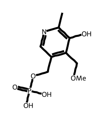 COCc1c(COP(=O)(O)O)cnc(C)c1O